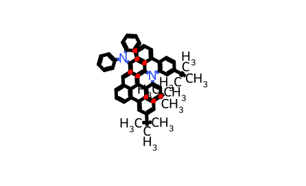 CC(C)(C)c1cc(-c2cccc3cccc(-c4ccccc4N(c4ccc5c(c4)c4ccccc4n5-c4ccccc4)c4cc(C(C)(C)C)ccc4-c4ccccc4)c23)cc(C(C)(C)C)c1